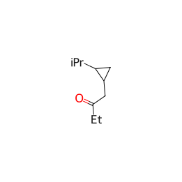 CCC(=O)CC1CC1C(C)C